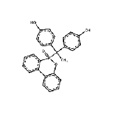 CC(c1ccc(O)cc1)(c1ccc(O)cc1)P1(=O)Oc2ccccc2-c2ccccc21